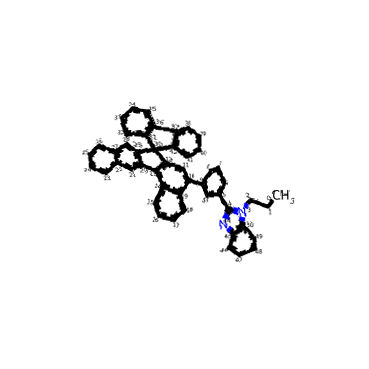 CCCn1c(-c2cccc(-c3cc4c(c5ccccc35)-c3cc5ccccc5cc3C43c4ccccc4-c4ccccc43)c2)nc2ccccc21